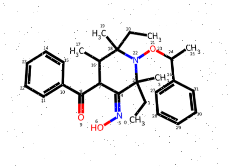 CCC1(C)C(=NO)C(C(=O)c2ccccc2)C(C)C(C)(CC)N1OC(C)c1ccccc1